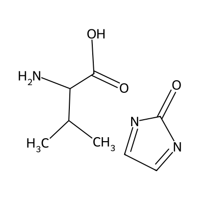 CC(C)C(N)C(=O)O.O=C1N=CC=N1